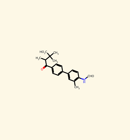 Cc1cc(-c2ccc(C(=O)C(C)C(C)(C)C(=O)O)cc2)ccc1NC=O